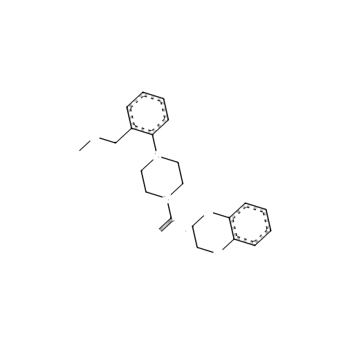 COCc1ccccc1N1CCN(C(=O)[C@H]2COc3ccccc3O2)CC1